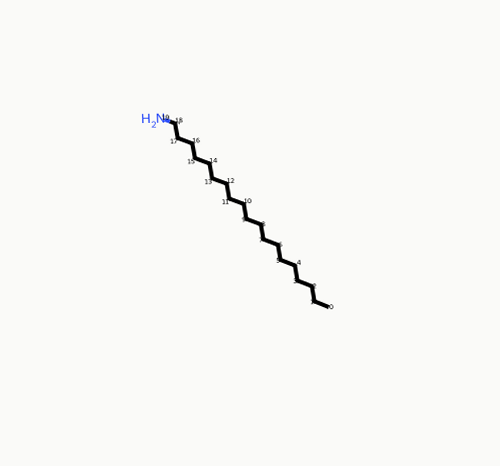 CCCCCCCCCCCCCCCCCC[CH]N